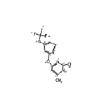 Cc1cc(Oc2cccc(OC(F)(F)F)c2)nc(Cl)n1